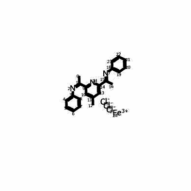 CC(=Nc1ccccc1)c1cc(C)cc(C(C)=Nc2ccccc2)n1.[Cl-].[Cl-].[Cl-].[Fe+3]